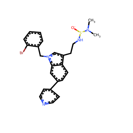 CN(C)[S+]([O-])NCCc1cn(Cc2ccccc2Br)c2cc(-c3ccncc3)ccc12